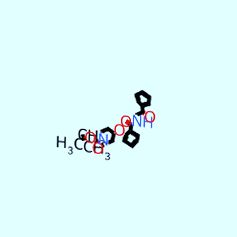 CC(C)(C)OC(=O)N1CCC(Oc2ccccc2C(=O)NCC(=O)c2ccccc2)CC1